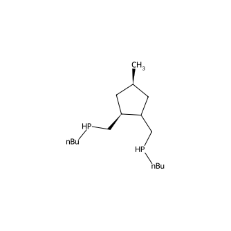 CCCCPCC1C[C@H](C)C[C@@H]1CPCCCC